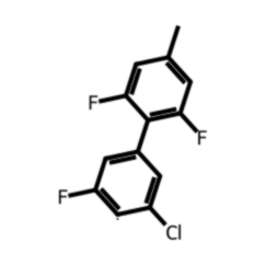 Cc1cc(F)c(-c2cc(F)[c]c(Cl)c2)c(F)c1